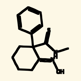 CNC(=S)C1(c2ccccc2)CCCCC1=NO